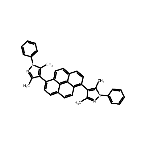 Cc1nn(-c2ccccc2)c(C)c1-c1ccc2ccc3c(-c4c(C)nn(-c5ccccc5)c4C)ccc4ccc1c2c43